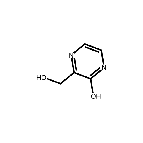 OCc1nccnc1O